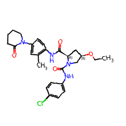 CCO[C@@H]1C[C@H](C(=O)Nc2ccc(N3CCCCC3=O)cc2C)N(C(=O)Nc2ccc(Cl)cc2)C1